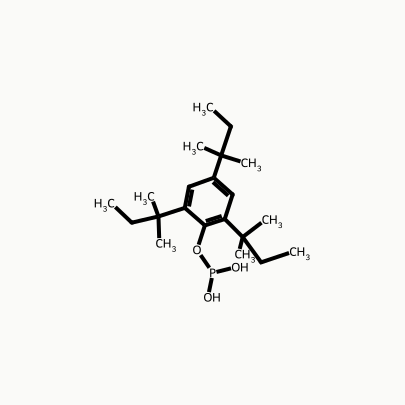 CCC(C)(C)c1cc(C(C)(C)CC)c(OP(O)O)c(C(C)(C)CC)c1